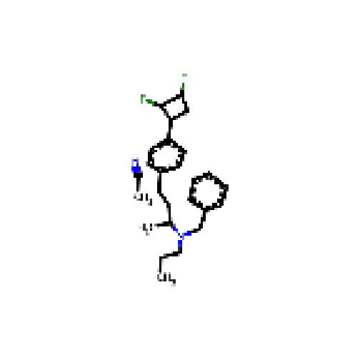 CC#N.CCCN(Cc1ccccc1)C(C)CCc1ccc(C2CC(F)C2F)cc1